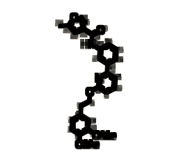 COc1ccc(CCOc2cccc(-c3cccc(NC(=O)c4cc(C)on4)c3)n2)cc1OC